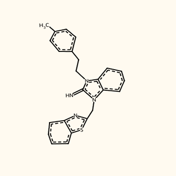 Cc1ccc(CCn2c(=N)n(Cc3nc4ccccc4s3)c3ccccc32)cc1